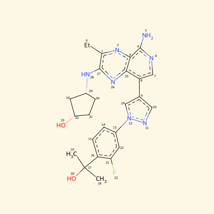 CCc1nc2c(N)ncc(-c3cnn(-c4ccc(C(C)(C)O)c(F)c4)c3)c2nc1N[C@@H]1CC[C@H](O)C1